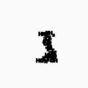 CC(C)(Cc1ccc(C(=O)Oc2ccc(C(=N)N)cc2F)s1)C(=O)N[C@H](C(=O)O)c1ccc(O)cc1